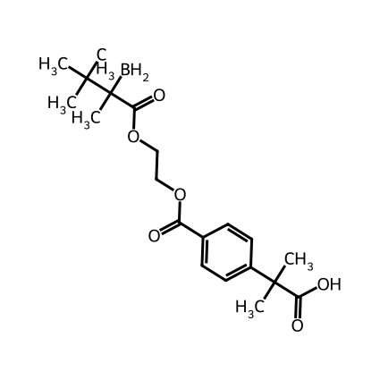 BC(C)(C(=O)OCCOC(=O)c1ccc(C(C)(C)C(=O)O)cc1)C(C)(C)C